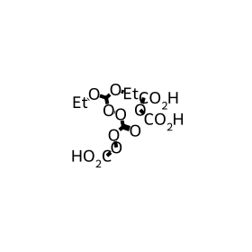 CCOC(OCC)OOC(=O)OOC(=O)O.O=C(O)OC(=O)O